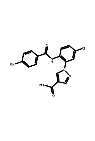 CCCC(=O)c1cnn(-c2cc(Cl)ccc2NC(=O)c2ccc(C(C)(C)C)cc2)c1